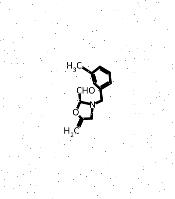 C=C1CN(Cc2cccc(C)c2)C(C=O)O1